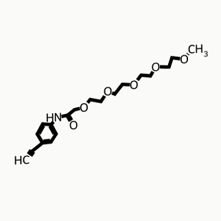 C#Cc1ccc(NC(=O)COCCOCCOCCOCCOC)cc1